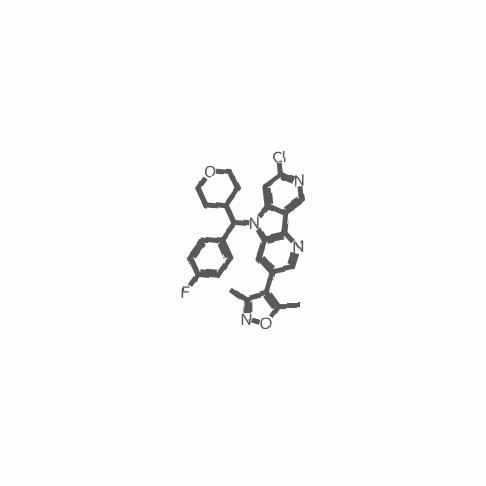 Cc1noc(C)c1-c1cnc2c3cnc(Cl)cc3n(C(c3ccc(F)cc3)C3CCOCC3)c2c1